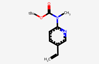 C=Cc1ccc(N(C)C(=O)OC(C)(C)C)nc1